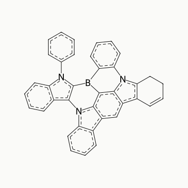 C1=Cc2c(n3c4c5c6c(cc24)c2ccccc2n6-c2c(n(-c4ccccc4)c4ccccc24)B5c2ccccc2-3)CC1